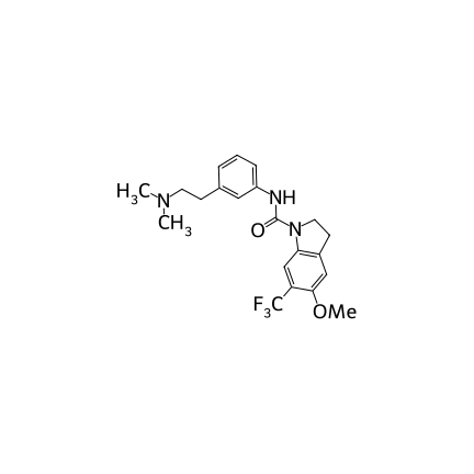 COc1cc2c(cc1C(F)(F)F)N(C(=O)Nc1cccc(CCN(C)C)c1)CC2